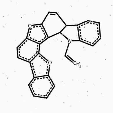 C=CN1c2ccccc2C2C=Cc3oc4ccc5c6ccccc6oc5c4c3C21